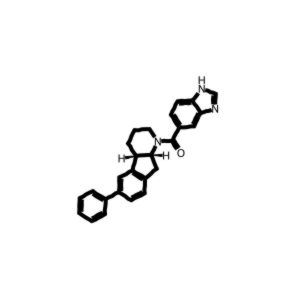 O=C(c1ccc2[nH]cnc2c1)N1CCC[C@H]2c3cc(-c4ccccc4)ccc3C[C@H]21